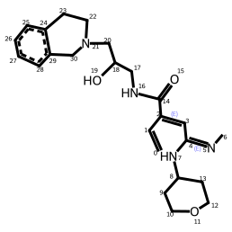 C=C/C(=C\C(=N/C)NC1CCOCC1)C(=O)NCC(O)CN1CCc2ccccc2C1